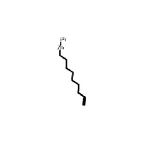 C=CCCCCCC[CH2][Zn][CH](C)C